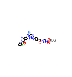 CC(C)(C)OC(=O)N1CCN(C(=O)Cc2ccc(Nc3ncc(F)c(Nc4ccc(C(=O)Nc5ccccc5Cl)cc4)n3)cc2)CC1